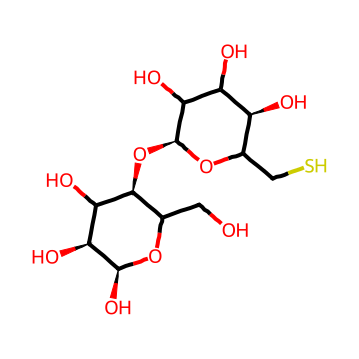 OCC1O[C@@H](O)[C@@H](O)C(O)[C@H]1O[C@@H]1OC(CS)[C@H](O)C(O)C1O